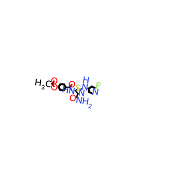 CC(=O)Oc1ccc(C(=O)NC2SC(Nc3ccnc(F)c3)=NC2C(N)=O)cc1